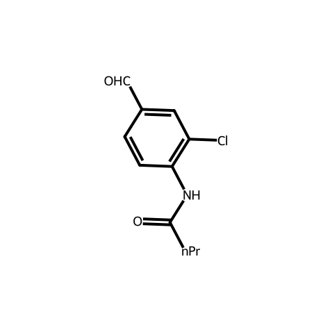 CCCC(=O)Nc1ccc(C=O)cc1Cl